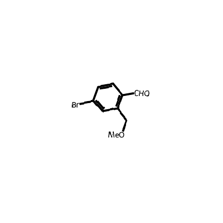 COCc1cc(Br)ccc1C=O